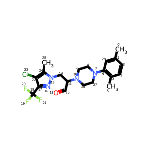 Cc1ccc(C)c(N2CCN(C(C=O)Cn3nc(C(F)(F)F)c(Cl)c3C)CC2)c1